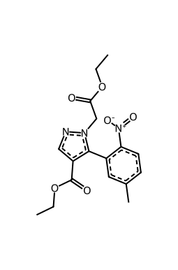 CCOC(=O)Cn1ncc(C(=O)OCC)c1-c1cc(C)ccc1[N+](=O)[O-]